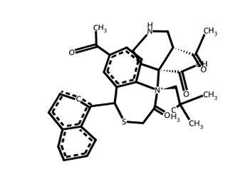 CC(=O)c1ccc2c(c1)C(c1cccc3ccccc13)SCC(=O)[N@@+]2(CC(C)(C)C)[C@@]1(C(=O)O)CCNC[C@@H]1C(C)=O